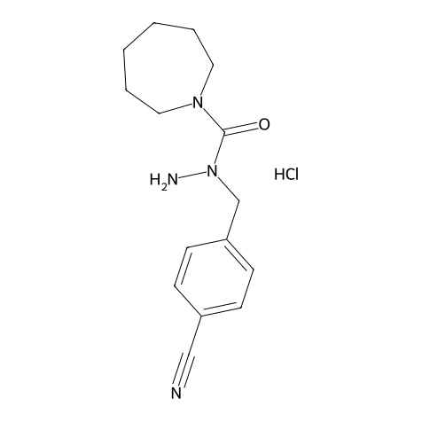 Cl.N#Cc1ccc(CN(N)C(=O)N2CCCCCC2)cc1